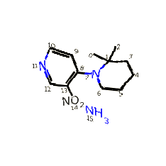 CC1(C)CCCCN1c1ccncc1[N+](=O)[O-].N